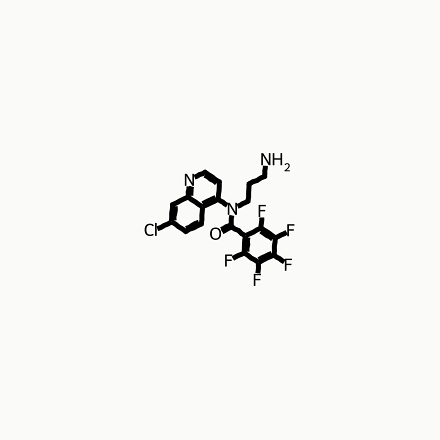 NCCCN(C(=O)c1c(F)c(F)c(F)c(F)c1F)c1ccnc2cc(Cl)ccc12